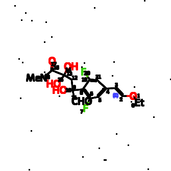 CCO/C=C/c1cc(F)c(C(O)(C=O)CC(O)(O)C(=O)NC)c(F)c1